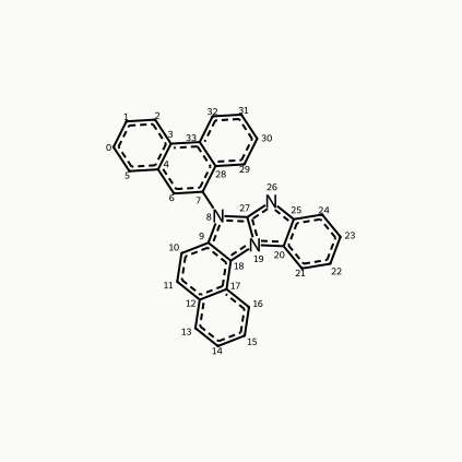 c1ccc2c(c1)cc(-n1c3ccc4ccccc4c3n3c4ccccc4nc13)c1ccccc12